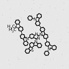 CC1(C)c2ccccc2-c2ccc(-c3ccc4c5ccccc5n(-c5ccc6nc(-n7c8cc(-c9ccc%10c(c9)c9ccccc9n%10-c9ccccc9)ccc8c8ccc(-c9ccc%10c(c9)c9ccccc9n%10-c9ccccc9)cc87)nc(-n7c8ccccc8c8c9sc%10ccccc%10c9ccc87)c6c5)c4c3)cc21